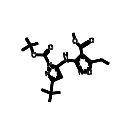 CCc1onc(Nc2cc(C(C)(C)C)nn2C(=O)OC(C)(C)C)c1C(=O)OC